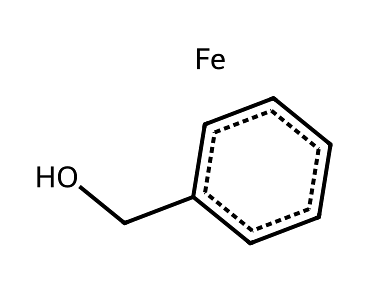 OCc1ccccc1.[Fe]